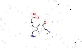 CN(C)C=C1CC2(CCNCC2)C(C=C=CC(=O)O)CC1=O